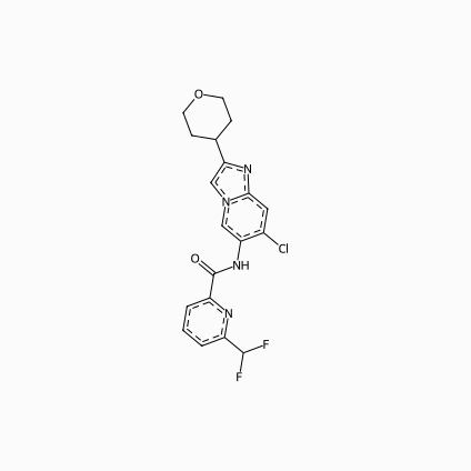 O=C(Nc1cn2cc(C3CCOCC3)nc2cc1Cl)c1cccc(C(F)F)n1